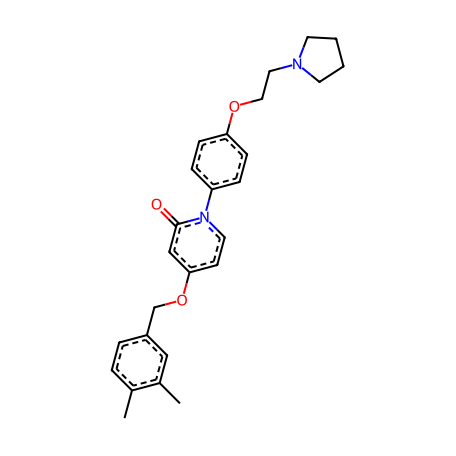 Cc1ccc(COc2ccn(-c3ccc(OCCN4CCCC4)cc3)c(=O)c2)cc1C